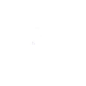 O=C1CC/C=C/CCN1